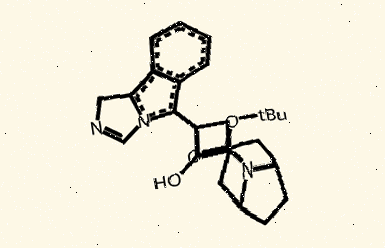 CC(C)(C)OC(=O)N1C2CCC1CC1(CC(c3c4ccccc4c4n3C=NC4)C1O)C2